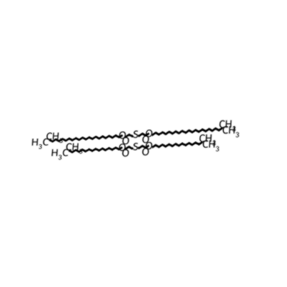 CC(C)CCCCCCCCCCCCCCCCCCCCCOC(=O)CCSCCC(=O)OCCCCCCCCCCCCCCCCCCCCCC(C)C.CC(C)CCCCCCCCCCCCCCCOC(=O)CCSCCC(=O)OCCCCCCCCCCCCCCCC(C)C